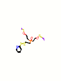 O=P(CCOSI)(CCOSI)CCSSc1ccccn1